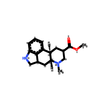 COC(=O)C1C[C@@H]2c3cccc4c3C(CN4)C[C@H]2N(C)C1